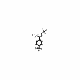 CC(C)(C)CCC(N)c1ccc(C(F)(F)F)cc1